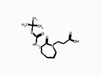 CC(C)(C)OC(=O)N[C@H]1CCCCN(CCC(=O)O)C1=O